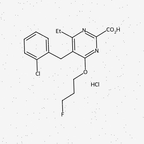 CCc1nc(C(=O)O)nc(OCCCF)c1Cc1ccccc1Cl.Cl